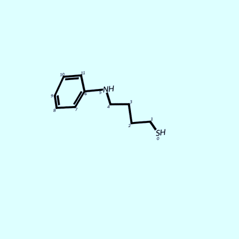 SCCCCNc1ccccc1